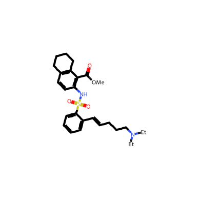 CCN(CC)CCCC=Cc1ccccc1S(=O)(=O)Nc1ccc2c(c1C(=O)OC)CCCC2